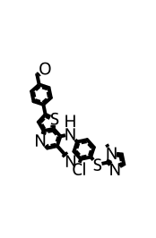 Cn1ccnc1Sc1ccc(Nc2c(C#N)cnc3cc(-c4ccc(C=O)cc4)sc23)cc1Cl